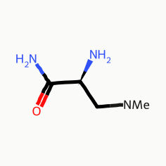 CNC[C@H](N)C(N)=O